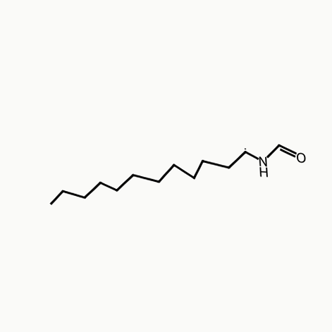 CCCCCCCCCCC[CH]NC=O